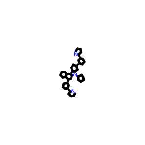 c1ccc(-n2c3cc(-c4cccc(-c5ccccn5)c4)ccc3c3c4ccccc4c(-c4cccc(-c5ccccn5)c4)cc32)cc1